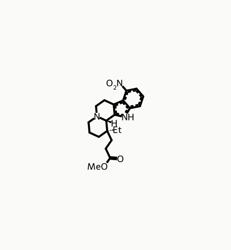 CC[C@]1(CCC(=O)OC)CCCN2CCc3c([nH]c4cccc([N+](=O)[O-])c34)[C@@H]21